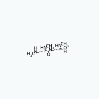 CNCCC[C@H](NC)C(=O)NCCC[C@@H](CO)NC